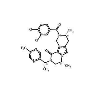 C[C@@H]1Cc2nn3c(c2CN1C(=O)c1ccc(Cl)c(Cl)c1)C(=O)N([C@H](C)c1cnc(C(F)(F)F)cn1)C[C@H]3C